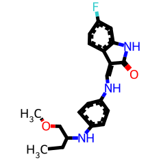 CCC(COC)Nc1ccc(NC=C2C(=O)Nc3cc(F)ccc32)cc1